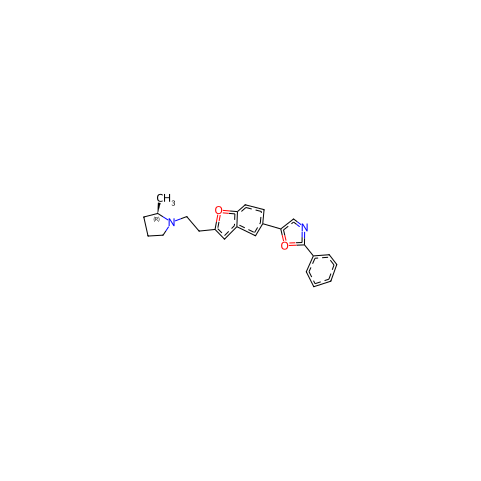 C[C@@H]1CCCN1CCc1cc2cc(-c3cnc(-c4ccccc4)o3)ccc2o1